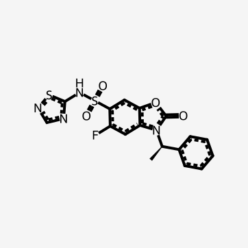 C[C@H](c1ccccc1)n1c(=O)oc2cc(S(=O)(=O)Nc3ncns3)c(F)cc21